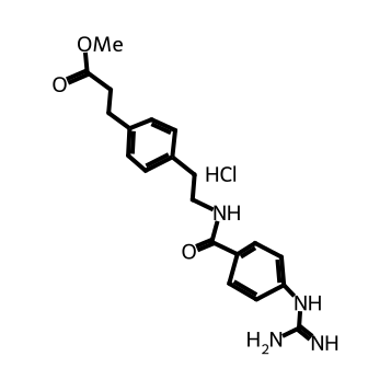 COC(=O)CCc1ccc(CCNC(=O)c2ccc(NC(=N)N)cc2)cc1.Cl